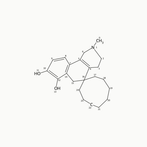 CN1CCC2=C(C1)c1ccc(O)c(O)c1CC21CCCCCCCC1